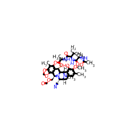 COc1c(C)cc2c(c1O)[C@H]1C3[C@H](SC[C@@H](C)NC(=O)C(NC(=O)C(C)NC(C)=O)C(C)C)c4c(OC(C)=O)c(C)c5c(c4[C@H](COC=O)N3[C@@H](C#N)[C@H](C2)N1C)OCO5